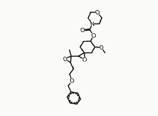 COC1CC2(CCC1OC(=O)N1CCOCC1)OC2C1(C)OC1CCOCc1ccccc1